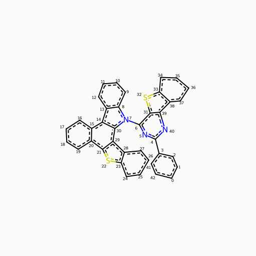 c1ccc(-c2nc(-n3c4ccccc4c4c5ccccc5c5sc6ccccc6c5c43)c3sc4ccccc4c3n2)cc1